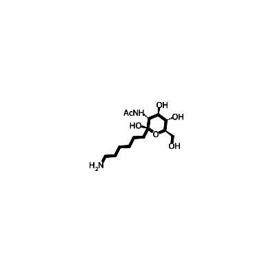 CC(=O)N[C@@H]1[C@@H](O)[C@H](O)[C@@H](CO)O[C@]1(O)CCCCCCN